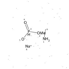 CN.CO[PH](=O)[O-].[Na+]